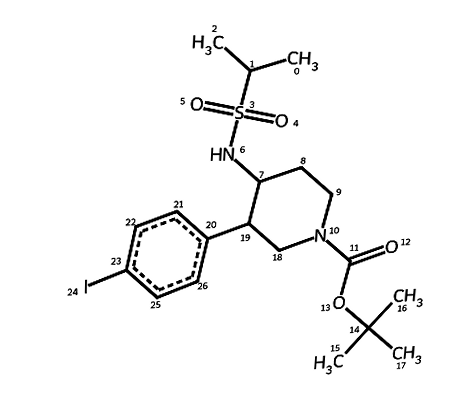 CC(C)S(=O)(=O)NC1CCN(C(=O)OC(C)(C)C)CC1c1ccc(I)cc1